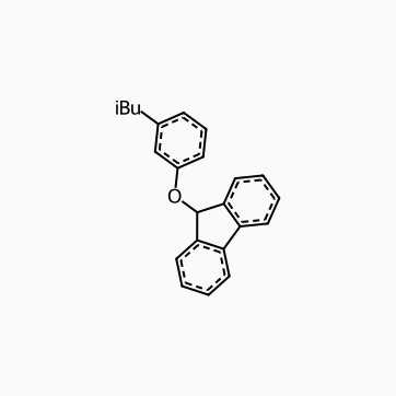 CCC(C)c1cccc(OC2c3ccccc3-c3ccccc32)c1